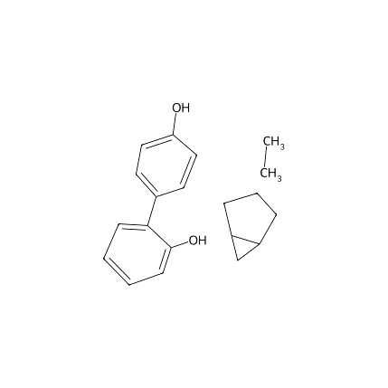 C1CC2CC2C1.CC.Oc1ccc(-c2ccccc2O)cc1